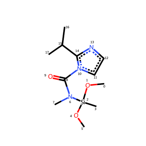 CO[Si](C)(OC)N(C)C(=O)n1ccnc1C(C)C